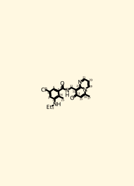 CCNc1cc(Cl)cc(C(=O)NCc2c(=O)cc(C)n3cccnc23)c1C